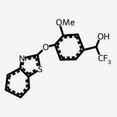 COc1cc(C(O)C(F)(F)F)ccc1Oc1nc2ccccc2s1